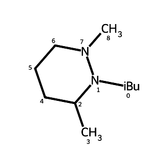 CCC(C)N1C(C)CCCN1C